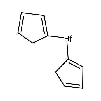 C1=CC[C]([Hf][C]2=CC=CC2)=C1